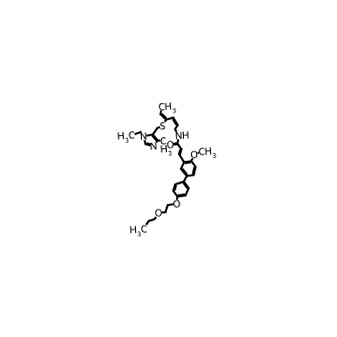 C/C=C(\C=C/CNC(=O)/C=C/c1cc(-c2ccc(OCCOCCC)cc2)ccc1OC)SCc1c(C)ncn1CC